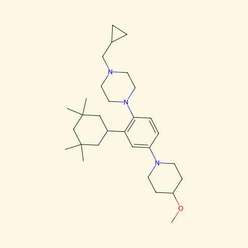 COC1CCN(c2ccc(N3CCN(CC4CC4)CC3)c(C3CC(C)(C)CC(C)(C)C3)c2)CC1